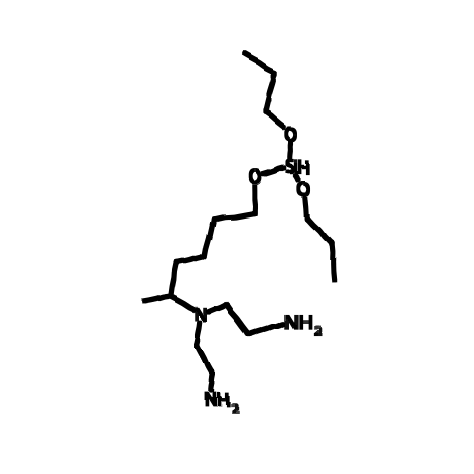 CCCO[SiH](OCCC)OCCCCC(C)N(CCN)CCN